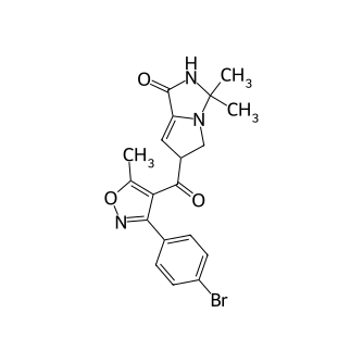 Cc1onc(-c2ccc(Br)cc2)c1C(=O)C1C=C2C(=O)NC(C)(C)N2C1